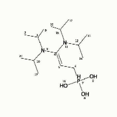 CC(C)N(C(=CC[PH](O)(O)O)N(C(C)C)C(C)C)C(C)C